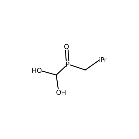 CC(C)C[P](=O)C(O)O